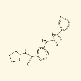 O=C(NC1CCCC1)c1ccnc(Nc2nc(-c3ccccn3)cs2)c1